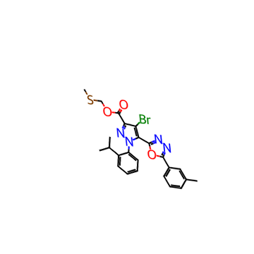 CSCOC(=O)c1nn(-c2ccccc2C(C)C)c(-c2nnc(-c3cccc(C)c3)o2)c1Br